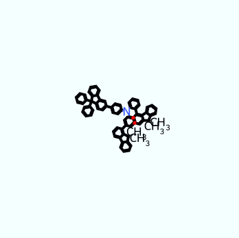 CC1(C)c2ccccc2-c2c(-c3ccccc3N(c3ccc(-c4ccc5c(c4)-c4ccccc4C5(c4ccccc4)c4ccccc4)cc3)c3cccc(-c4cccc5c4C(C)(C)c4ccccc4-5)c3)cccc21